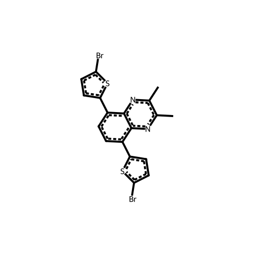 Cc1nc2c(-c3ccc(Br)s3)ccc(-c3ccc(Br)s3)c2nc1C